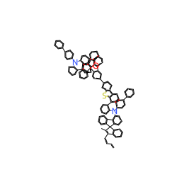 C=C/C=C\C1=C(C)C2(c3ccccc31)c1ccccc1-c1c(N(c3ccc(-c4ccccc4)cc3)c3ccccc3-c3cccc4c3sc3cc(-c5ccc6c(c5)-c5ccccc5C65c6ccccc6-c6c(N(c7ccc(-c8ccccc8)cc7)c7ccccc7-c7ccc8oc9ccccc9c8c7)cccc65)ccc34)cccc12